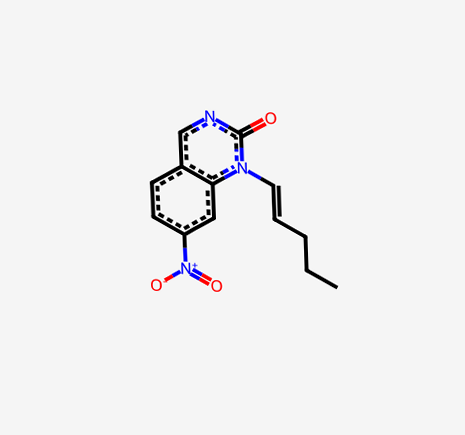 CCCC=Cn1c(=O)ncc2ccc([N+](=O)[O-])cc21